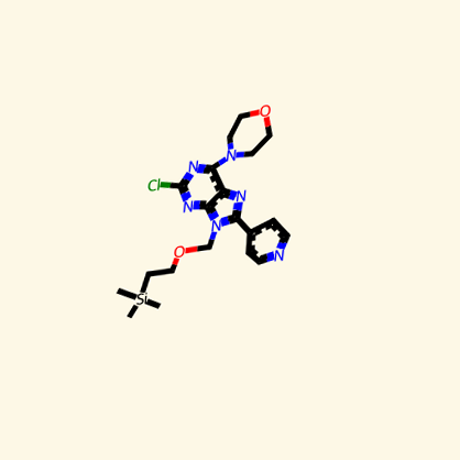 C[Si](C)(C)CCOCn1c(-c2ccncc2)nc2c(N3CCOCC3)nc(Cl)nc21